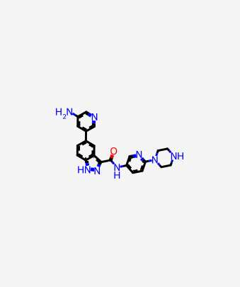 Nc1cncc(-c2ccc3[nH]nc(C(=O)Nc4ccc(N5CCNCC5)nc4)c3c2)c1